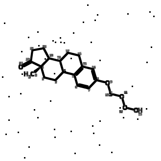 C[C@]12CCC3c4ccc(OSOOO)cc4CCC3C1CCC2=O